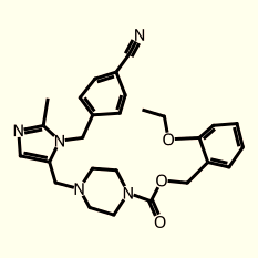 CCOc1ccccc1COC(=O)N1CCN(Cc2cnc(C)n2Cc2ccc(C#N)cc2)CC1